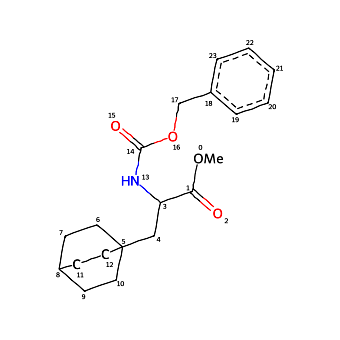 COC(=O)C(CC12CCC(CC1)CC2)NC(=O)OCc1ccccc1